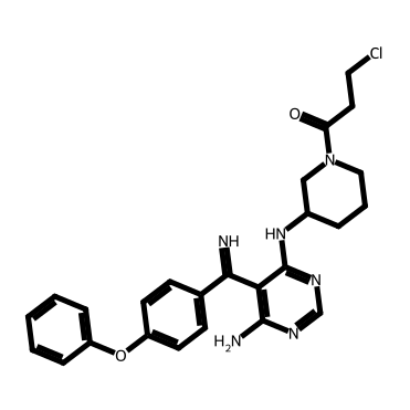 N=C(c1ccc(Oc2ccccc2)cc1)c1c(N)ncnc1NC1CCCN(C(=O)CCCl)C1